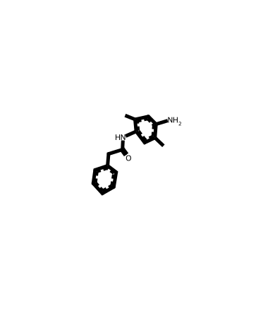 Cc1cc(NC(=O)Cc2ccccc2)c(C)cc1N